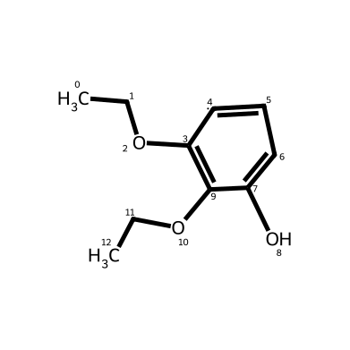 CCOc1[c]ccc(O)c1OCC